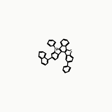 c1ccc(-c2ccc3sc4c5ccccc5c5c(c6ccc(-c7cccc8ccccc78)cc6n5-c5ccccc5)c4c3c2)cc1